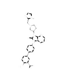 Cn1ccnc1CN1CCC(n2c(=O)n(-c3ccc(-c4ccc(O)c(C(=O)O)c4)cc3)c3cccnc32)C1